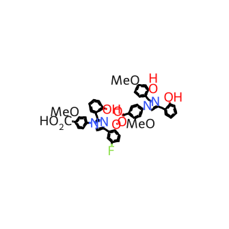 COc1ccc(-c2nc(-c3ccccc3O)cn2-c2ccc(C(=O)OOc3ccc(F)cc3-c3cn(-c4ccc(C(=O)O)c(OC)c4)c(-c4ccccc4O)n3)c(OC)c2)c(O)c1